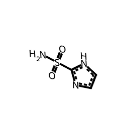 NS(=O)(=O)c1ncc[nH]1